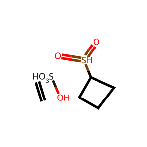 C=C.O=S(=O)(O)O.O=[SH](=O)C1CCC1